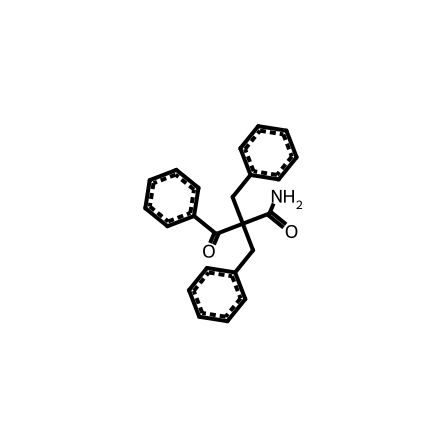 NC(=O)C(Cc1ccccc1)(Cc1ccccc1)C(=O)c1ccccc1